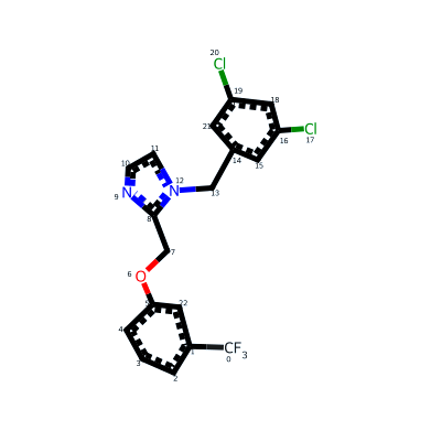 FC(F)(F)c1cccc(OCc2nccn2Cc2cc(Cl)cc(Cl)c2)c1